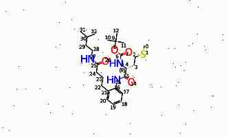 CSCC[C@@H](NC(=O)OC(C)(C)C)C(=O)Nc1ccccc1CCCC(=O)NCCC(C)C